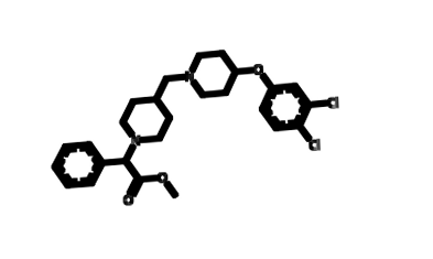 COC(=O)C(c1ccccc1)N1CCC(CN2CCC(Oc3ccc(Cl)c(Cl)c3)CC2)CC1